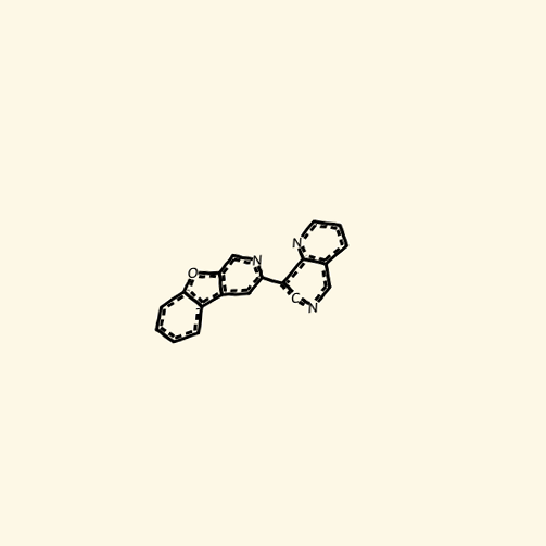 c1cnc2c(-c3cc4c(cn3)oc3ccccc34)cncc2c1